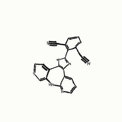 N#Cc1cccc(C#N)c1-c1nc2c([nH]1)-c1ccncc1Nc1ncccc1-2